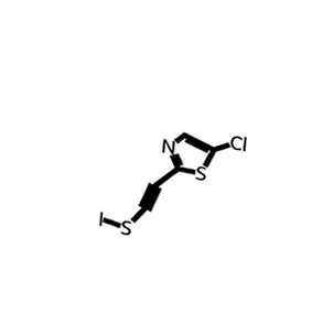 Clc1cnc(C#CSI)s1